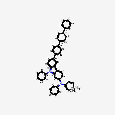 C/C=C\C(=C/C)N(c1ccccc1)c1ccc2c3cc(-c4ccc(C5=CCC(c6ccccc6)C=C5)cc4)ccc3n(-c3ccccc3)c2c1